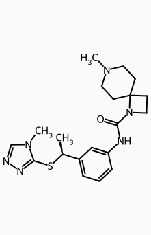 C[C@H](Sc1nncn1C)c1cccc(NC(=O)N2CCC23CCN(C)CC3)c1